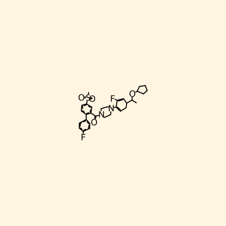 CC(OC1CCCC1)C1C=C(F)C(N2CCN(C(=O)c3cc(S(C)(=O)=O)ccc3-c3ccc(F)cc3)CC2)=CC1